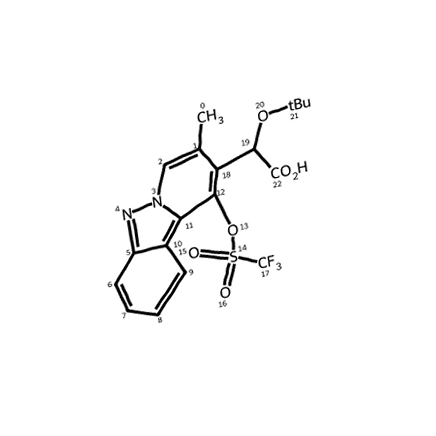 Cc1cn2nc3ccccc3c2c(OS(=O)(=O)C(F)(F)F)c1C(OC(C)(C)C)C(=O)O